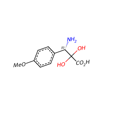 COc1ccc([C@H](N)C(O)(O)C(=O)O)cc1